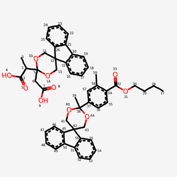 CC(C(=O)O)C1(CC(=O)O)OCC2(CO1)c1ccccc1-c1ccccc12.CCCCOC(=O)c1ccc(C2(C)OCC3(CO2)c2ccccc2-c2ccccc23)cc1C